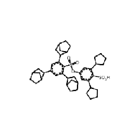 O=S(=O)(O)c1c(C2CCCC2)cc(OS(=O)(=O)c2c(C3CC4CCC3C4)cc(C3CC4CCC3C4)cc2C2CC3CCC2C3)cc1C1CCCC1